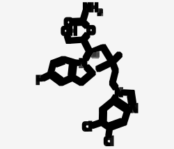 CC(C)(CCn1cnc2cc(Cl)c(Cl)cc21)C[C@H](C(CO)OC(N)=O)N1CCc2cc(F)ccc21